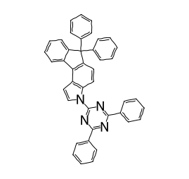 c1ccc(-c2nc(-c3ccccc3)nc(-n3ccc4c5c(ccc43)C(c3ccccc3)(c3ccccc3)c3ccccc3-5)n2)cc1